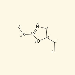 CCC1CN=C(SC)O1